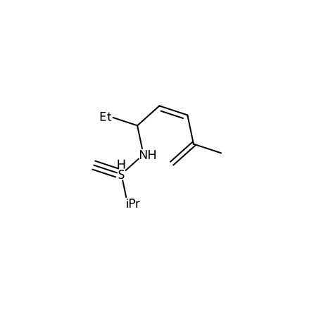 C#[SH](NC(/C=C\C(=C)C)CC)C(C)C